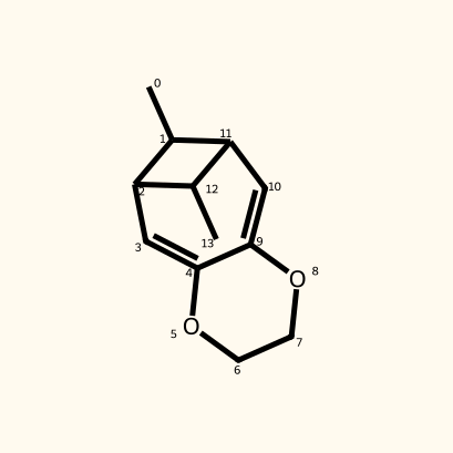 CC1C2C=C3OCCOC3=CC1C2C